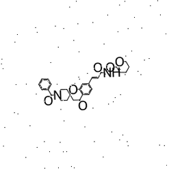 O=C(/C=C/c1ccc2c(c1)OC1(CCN(C(=O)c3ccccc3)CC1)CC2=O)NOC1CCCCO1